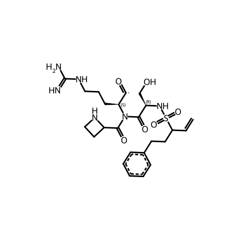 C=CC(CCc1ccccc1)S(=O)(=O)N[C@H](CO)C(=O)N(C(=O)C1CCN1)[C@H]([C]=O)CCCNC(=N)N